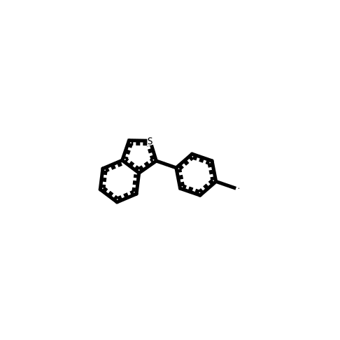 [CH2]c1ccc(-c2scc3ccccc23)cc1